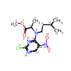 COC(=O)C(C)N(CCC(C)C)c1nc(Cl)ncc1[N+](=O)[O-]